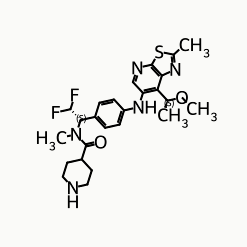 CO[C@@H](C)c1c(Nc2ccc([C@@H](C(F)F)N(C)C(=O)C3CCNCC3)cc2)cnc2sc(C)nc12